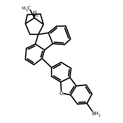 Bc1ccc2c(c1)oc1cc(-c3cccc4c3-c3ccccc3C43CC4CCC3[C@H]4C)ccc12